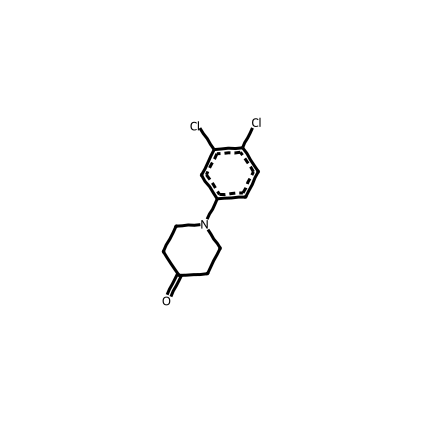 O=C1CCN(c2ccc(Cl)c(Cl)c2)CC1